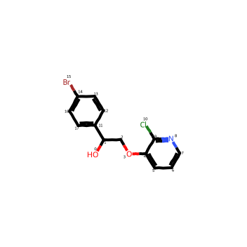 OC(COc1cccnc1Cl)c1ccc(Br)cc1